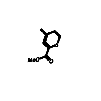 COC(=O)C1=C=C(C)CCS1